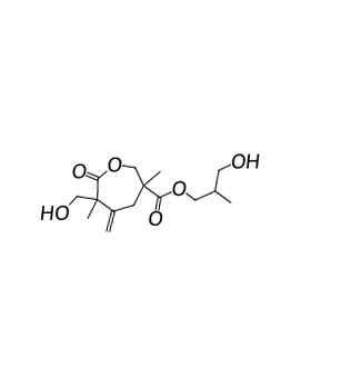 C=C1CC(C)(C(=O)OCC(C)CO)COC(=O)C1(C)CO